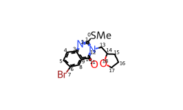 CSc1nc2ccc(Br)cc2c(=O)n1CC1CCCO1